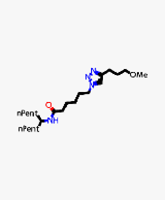 CCCCCC(CCCCC)NC(=O)CCCCCn1cc(CCCOC)nn1